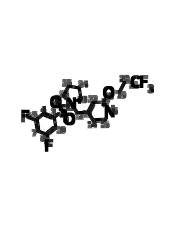 O=S(=O)(c1cc(F)cc(F)c1)[N+]1(Cc2ccnc(OCCC(F)(F)F)c2)CCCC1